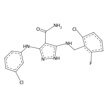 NC(=O)c1c(Nc2cccc(Cl)c2)n[nH]c1NCc1c(F)cccc1Cl